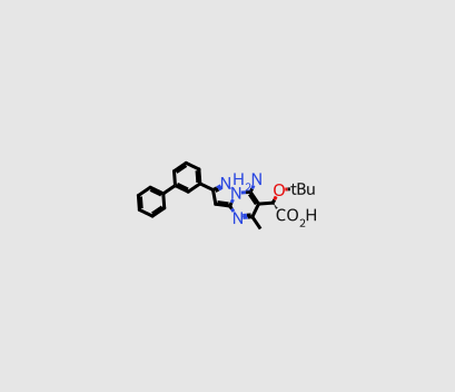 Cc1nc2cc(-c3cccc(-c4ccccc4)c3)nn2c(N)c1[C@H](OC(C)(C)C)C(=O)O